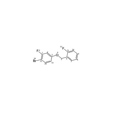 Fc1cc(OCc2ccccc2F)ccc1Br